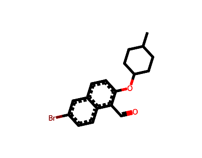 CC1CCC(Oc2ccc3cc(Br)ccc3c2C=O)CC1